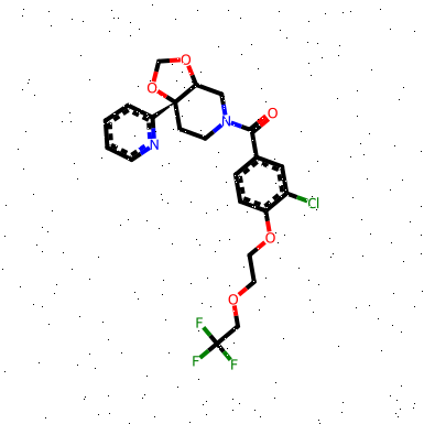 O=C(c1ccc(OCCOCC(F)(F)F)c(Cl)c1)N1CC[C@]2(c3ccccn3)OCOC2C1